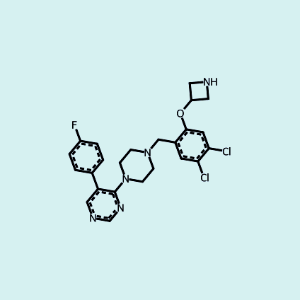 Fc1ccc(-c2cncnc2N2CCN(Cc3cc(Cl)c(Cl)cc3OC3CNC3)CC2)cc1